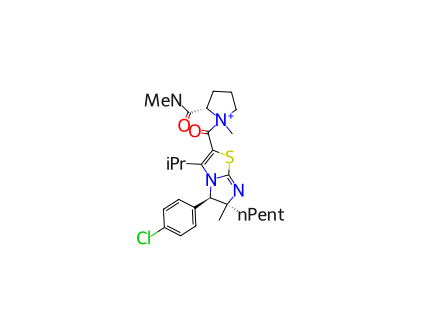 CCCCC[C@@]1(C)N=C2SC(C(=O)[N+]3(C)CCC[C@H]3C(=O)NC)=C(C(C)C)N2[C@@H]1c1ccc(Cl)cc1